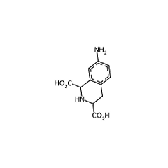 Nc1ccc2c(c1)C(C(=O)O)NC(C(=O)O)C2